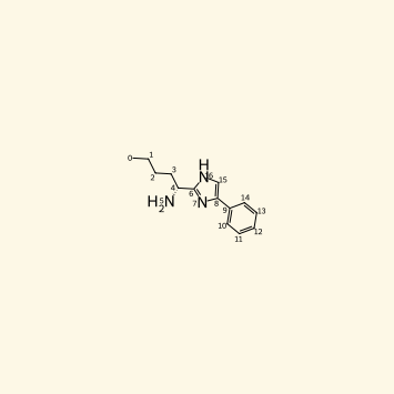 CCCC[C@@H](N)c1nc(-c2ccccc2)c[nH]1